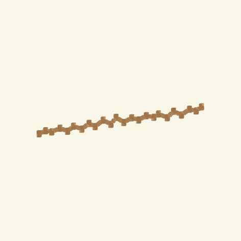 S=S=S=S=S=S=S=S=S=S=S=S=S=S=S=S=S=S=S=S=S=S=S=S